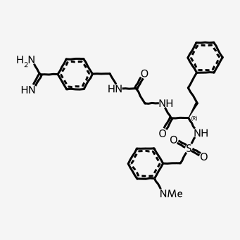 CNc1ccccc1CS(=O)(=O)N[C@H](CCc1ccccc1)C(=O)NCC(=O)NCc1ccc(C(=N)N)cc1